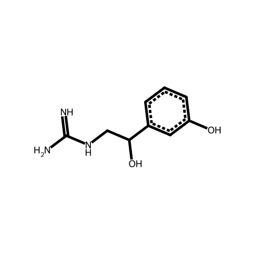 N=C(N)NCC(O)c1cccc(O)c1